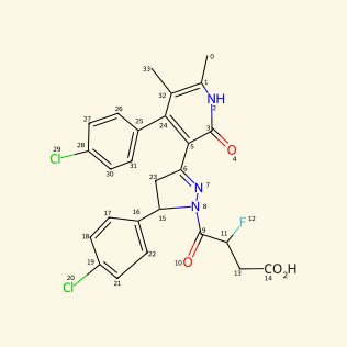 Cc1[nH]c(=O)c(C2=NN(C(=O)C(F)CC(=O)O)C(c3ccc(Cl)cc3)C2)c(-c2ccc(Cl)cc2)c1C